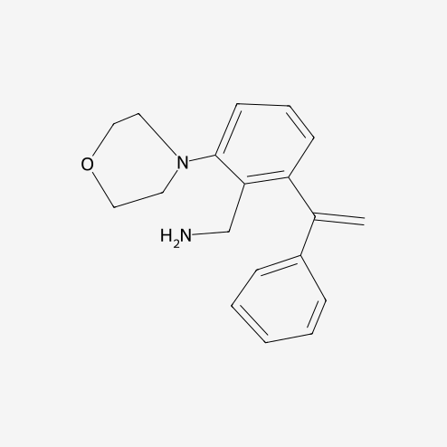 C=C(c1ccccc1)c1cccc(N2CCOCC2)c1CN